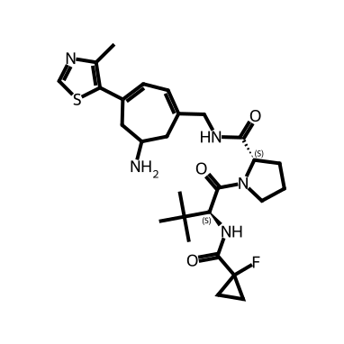 Cc1ncsc1C1=CC=C(CNC(=O)[C@@H]2CCCN2C(=O)[C@@H](NC(=O)C2(F)CC2)C(C)(C)C)CC(N)C1